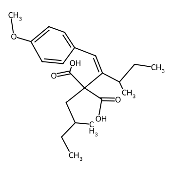 CCC(C)CC(C(=O)O)(C(=O)O)C(=Cc1ccc(OC)cc1)C(C)CC